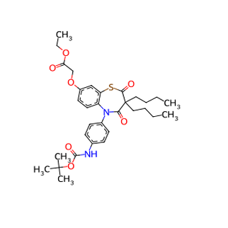 CCCCC1(CCCC)C(=O)Sc2cc(OCC(=O)OCC)ccc2N(c2ccc(NC(=O)OC(C)(C)C)cc2)C1=O